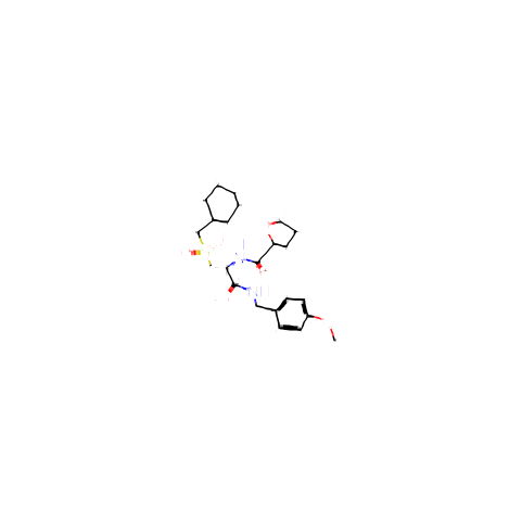 COc1ccc(CNC(=O)[C@H](CS(=O)(=O)CC2CCCCC2)NC(=O)C2CCCO2)cc1